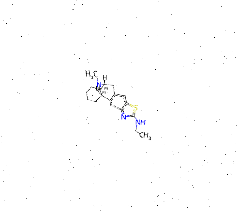 CCNc1nc2cc3c(cc2s1)C[C@@H]1[C@@H]2CCCC[C@]32CCN1C